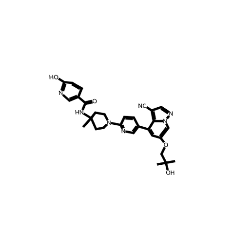 CC(C)(O)COc1cc(-c2ccc(N3CCC(C)(NC(=O)c4ccc(O)nc4)CC3)nc2)c2c(C#N)cnn2c1